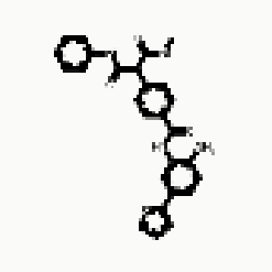 CNC(=O)C(C(=O)Nc1ccccc1)c1ccc(C(=O)Nc2cc(-c3cccs3)ccc2N)cc1